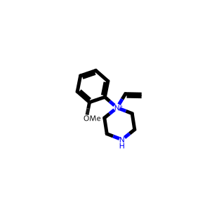 C=C[N+]1(c2ccccc2OC)CCNCC1